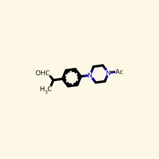 CC(=O)N1CCN(c2ccc(C(C)C=O)cc2)CC1